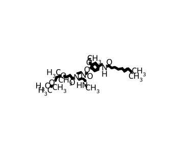 CNCC1CN(C(=O)CCOC(C)(C)CCOC(C)(C)C)CCN1C(=O)Oc1ccc(CNC(=O)CCCC/C=C/C(C)C)cc1OC